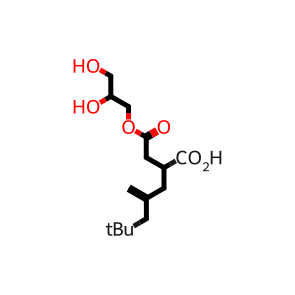 C=C(CC(CC(=O)OCC(O)CO)C(=O)O)CC(C)(C)C